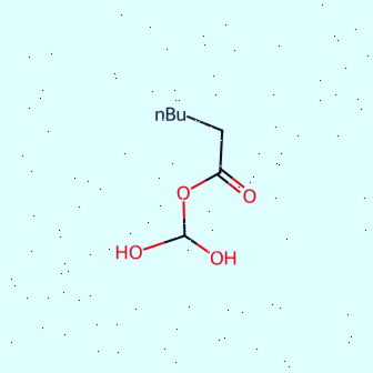 CCCCCC(=O)OC(O)O